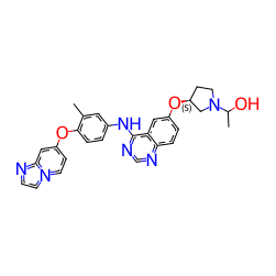 Cc1cc(Nc2ncnc3ccc(O[C@H]4CCN(C(C)O)C4)cc23)ccc1Oc1ccn2ccnc2c1